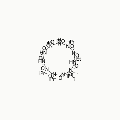 C/C=C/C[C@@H](C)C[C@H]1C(=O)N[C@@H](CC)C(=O)N(C)[C@H](C)C(=O)N(C)[C@@H](CC(C)C)C(=O)N[C@H](C(C)C)C(=O)N(C)[C@H](CC(C)C)C(=O)N[C@H](C)C(=O)N[C@@H](C)C(=O)N(C)[C@@H](CC(C)C)C(=O)N(C)[C@@H](CC(C)C)C(=O)N(C)[C@@H](C(C)C)C(=O)N1C